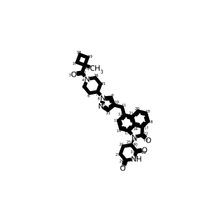 CC1(C(=O)N2CCC(n3cc(Cc4ccc5c6c(cccc46)C(=O)N5[C@@H]4CCC(=O)NC4=O)cn3)CC2)CCC1